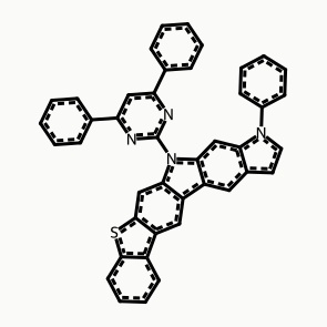 c1ccc(-c2cc(-c3ccccc3)nc(-n3c4cc5sc6ccccc6c5cc4c4cc5ccn(-c6ccccc6)c5cc43)n2)cc1